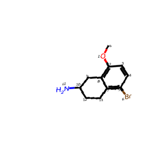 COc1ccc(Br)c2c1CC(N)CC2